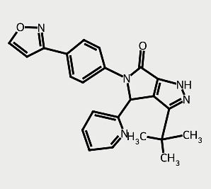 CC(C)(C)c1n[nH]c2c1C(c1ccccn1)N(c1ccc(-c3ccon3)cc1)C2=O